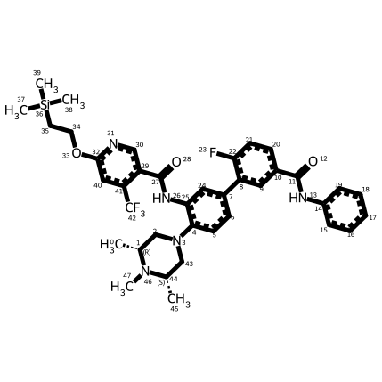 C[C@@H]1CN(c2ccc(-c3cc(C(=O)Nc4ccccc4)ccc3F)cc2NC(=O)c2cnc(OCC[Si](C)(C)C)cc2C(F)(F)F)C[C@H](C)N1C